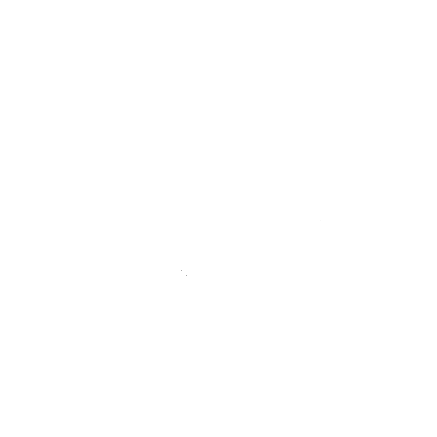 CC1(C)OB(c2ccc(COC=O)c(N)c2)OC1(C)C